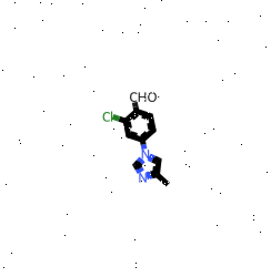 Cc1cn(-c2ccc([C]=O)c(Cl)c2)cn1